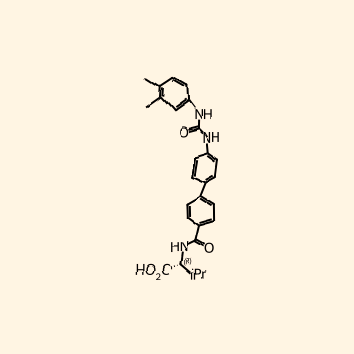 Cc1ccc(NC(=O)Nc2ccc(-c3ccc(C(=O)N[C@@H](C(=O)O)C(C)C)cc3)cc2)cc1C